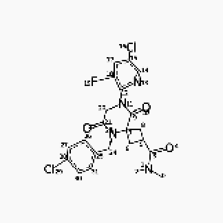 CN(C)C(=O)C1CC2(C1)C(=O)N(c1ncc(Cl)cc1F)CC(=O)N2Cc1ccc(Cl)cc1